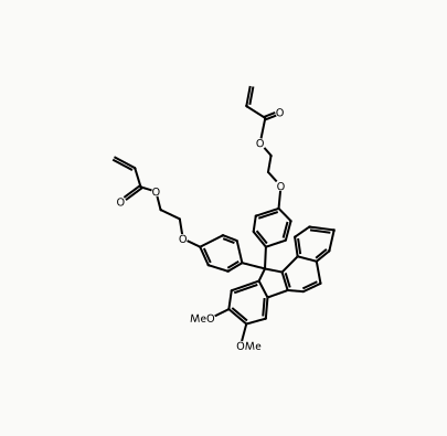 C=CC(=O)OCCOc1ccc(C2(c3ccc(OCCOC(=O)C=C)cc3)c3cc(OC)c(OC)cc3-c3ccc4ccccc4c32)cc1